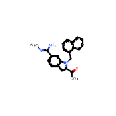 CO/N=C(\N)c1ccc2cc(C(=O)OC)n(Cc3cccc4ccccc34)c2c1